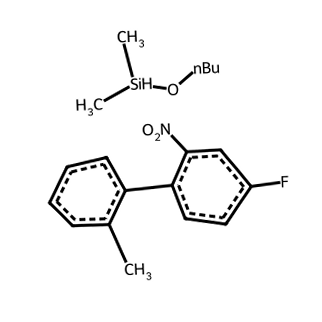 CCCCO[SiH](C)C.Cc1ccccc1-c1ccc(F)cc1[N+](=O)[O-]